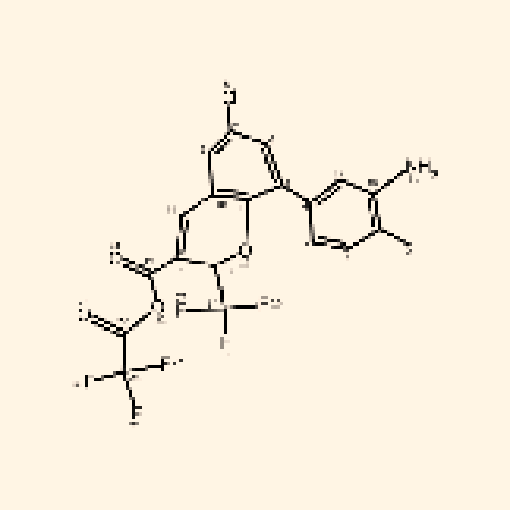 Cc1ccc(-c2cc(Cl)cc3c2OC(C(F)(F)F)C(C(=O)OC(=O)C(F)(F)F)=C3)cc1N